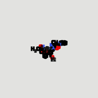 CCCCc1nc(C)c(CC(=O)N2CCC3(CCCC3)C2)c(=O)n1Cc1ccc(-c2ccccc2S(=O)(=O)Nc2noc(C)c2C)c(COCC)c1